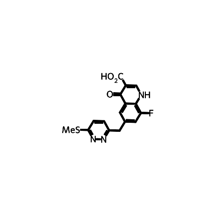 CSc1ccc(Cc2cc(F)c3[nH]cc(C(=O)O)c(=O)c3c2)nn1